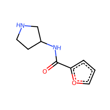 O=C(NC1CCNC1)c1ccco1